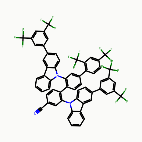 N#Cc1ccc(-c2ccc(-c3ccc(C(F)(F)F)cc3C(F)(F)F)cc2-n2c3ccccc3c3cc(-c4cc(C(F)(F)F)cc(C(F)(F)F)c4)ccc32)c(-n2c3ccccc3c3cc(-c4cc(C(F)(F)F)cc(C(F)(F)F)c4)ccc32)c1